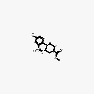 COC(=O)C1CCN(c2ncc(Br)cc2[N+](=O)[O-])CC1